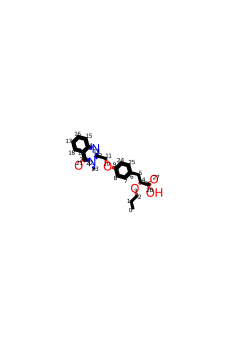 CCCOC(Cc1ccc(OCc2nc3ccccc3c(=O)n2C)cc1)C(=O)O